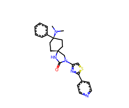 CN(C)[C@]1(c2ccccc2)CC[C@@]2(CC1)CN(c1csc(-c3ccncc3)n1)C(=O)N2